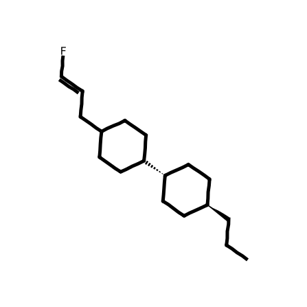 CCC[C@H]1CC[C@H](C2CCC(C/C=C/F)CC2)CC1